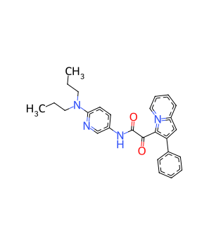 CCCN(CCC)c1ccc(NC(=O)C(=O)c2c(-c3ccccc3)cc3ccccn23)cn1